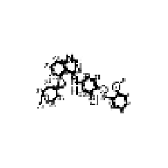 COc1ccccc1COc1ccc(Nc2ncnc3cccc(OC4CCN(C)CC4)c23)cc1Cl